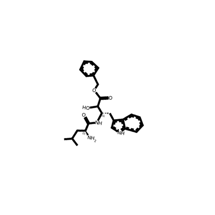 CC(C)C[C@H](N)C(=O)N[C@@H](Cc1c[nH]c2ccccc12)C(O)C(=O)OCc1ccccc1